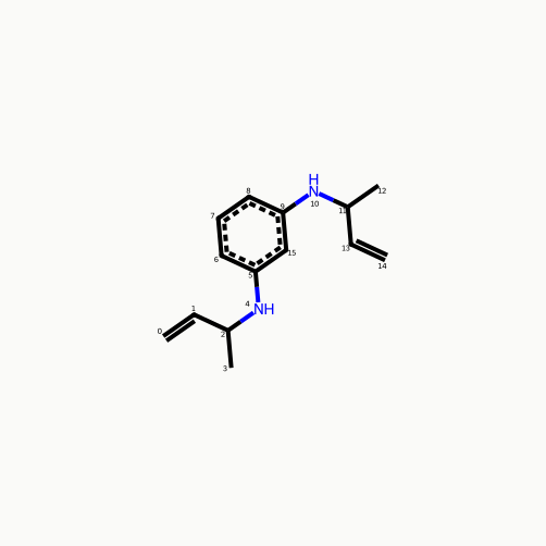 C=CC(C)Nc1cccc(NC(C)C=C)c1